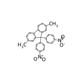 Cc1ccc2c(c1)C(c1ccc([N+](=O)[O-])cc1)(c1ccc([N+](=O)[O-])cc1)c1cc(C)ccc1-2